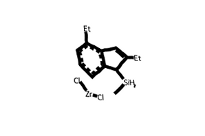 CCC1=Cc2c(CC)cccc2C1[SiH](C)C.[Cl][Zr][Cl]